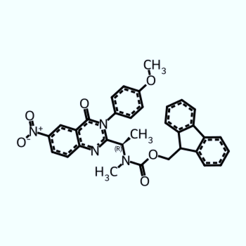 COc1ccc(-n2c([C@@H](C)N(C)C(=O)OCC3c4ccccc4-c4ccccc43)nc3ccc([N+](=O)[O-])cc3c2=O)cc1